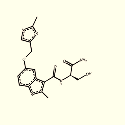 Cc1ncc(COc2ccc3sc(C)c(C(=O)N[C@H](CO)C(N)=O)c3c2)s1